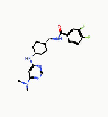 CN(C)c1cc(N[C@H]2CC[C@@H](CNC(=O)c3ccc(F)c(F)c3)CC2)ncn1